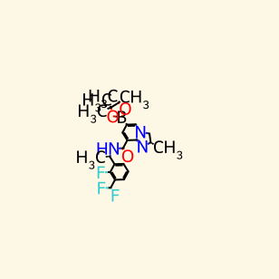 C[C@@H]1CN2C=C(B3OC(C)(C)C(C)(C)O3)C=C(C(=O)N[C@H](C)c3cccc(C(F)F)c3F)C2=N1